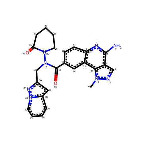 Cn1ncc2c(N)nc3ccc(C(=O)N(Cc4cc5ccccn5n4)N4CCCCC4=O)cc3c21